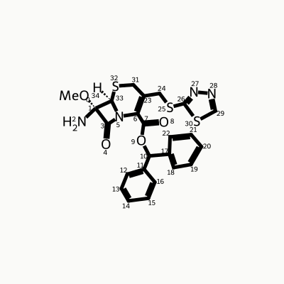 CO[C@@]1(N)C(=O)N2C(C(=O)OC(c3ccccc3)c3ccccc3)=C(CSc3nncs3)CS[C@@H]21